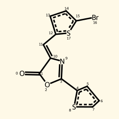 O=C1OC(c2cccs2)=NC1=Cc1ccc(Br)s1